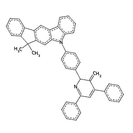 C=C1C(c2ccccc2)=CC(c2ccccc2)=NC1c1ccc(-n2c3ccccc3c3cc4c(cc32)C(C)(C)c2ccccc2-4)cc1